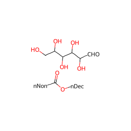 CCCCCCCCCCOC(=O)CCCCCCCCC.O=CC(O)C(O)C(O)C(O)CO